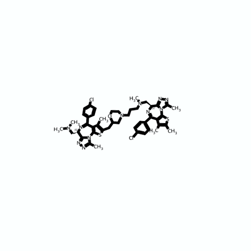 Cc1sc2c(c1C)C(c1ccc(Cl)cc1)=N[C@@H](CN(C)CCCN1CCOC(Cc3sc4c(c3C)C(c3ccc(Cl)cc3)=N[C@@H](CN(C)C)c3nnc(C)n3-4)C1)c1nnc(C)n1-2